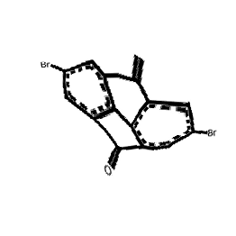 C=C1c2cc(Br)cc3c2-c2c1cc(Br)cc2C3=O